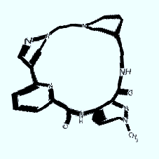 Cn1cc2c(n1)C(=O)NCC1CCN(CCn3cc(cn3)-c3cccc(n3)C(=O)N2)C1